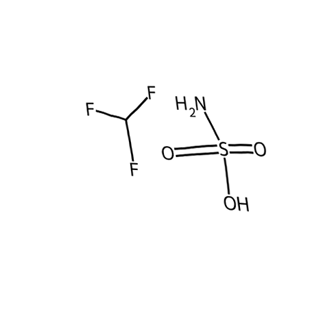 FC(F)F.NS(=O)(=O)O